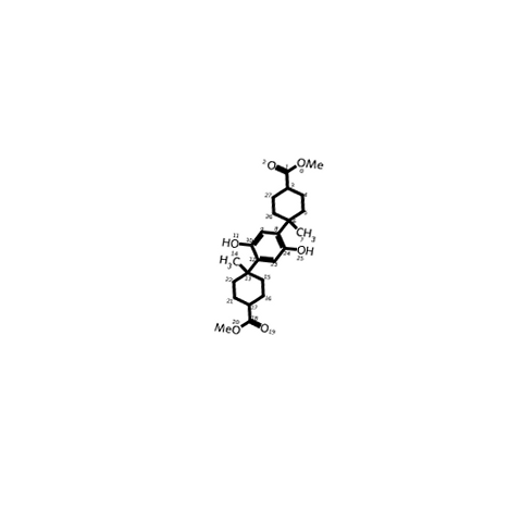 COC(=O)C1CCC(C)(c2cc(O)c(C3(C)CCC(C(=O)OC)CC3)cc2O)CC1